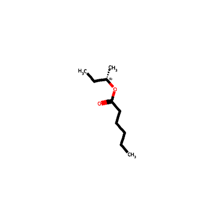 CCCCCC(=O)O[C@@H](C)CC